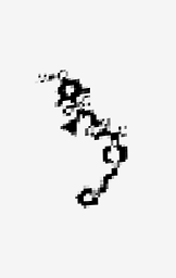 COc1cc(C)c(S(=O)(=O)N(Cc2nc(C(=O)N3CCN(CCCN4CCCC4)CC3)co2)C2CC2)c(C)c1